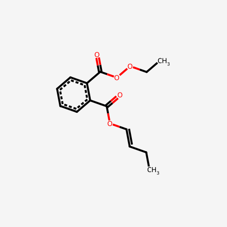 CCC=COC(=O)c1ccccc1C(=O)OOCC